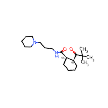 CC(C)(C)C(=O)[C@H]1CCCC[C@H]1C(=O)NCCCN1CCCCC1